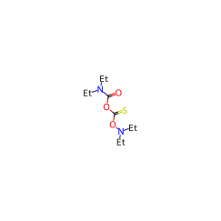 CCN(CC)OC(=S)OC(=O)N(CC)CC